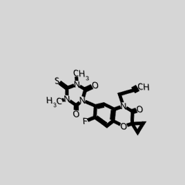 C#CCN1C(=O)C2(CC2)Oc2cc(F)c(-n3c(=O)n(C)c(=S)n(C)c3=O)cc21